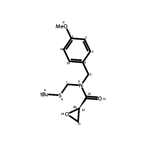 COc1ccc(CN(CSC(C)(C)C)C(=O)[C@H]2CO2)cc1